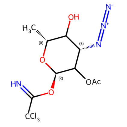 CC(=O)OC1[C@@H](OC(=N)C(Cl)(Cl)Cl)O[C@H](C)C(O)[C@@H]1N=[N+]=[N-]